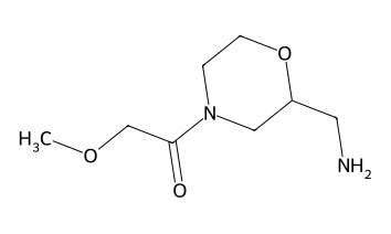 COCC(=O)N1CCOC(CN)C1